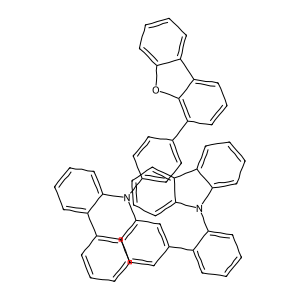 c1ccc(-c2ccccc2N(c2ccc(-c3cccc4c3oc3ccccc34)cc2)c2cccc(-c3ccccc3-n3c4ccccc4c4ccccc43)c2)cc1